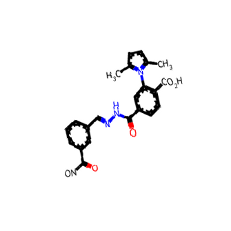 Cc1ccc(C)n1-c1cc(C(=O)N/N=C/c2cccc(C(=O)N=O)c2)ccc1C(=O)O